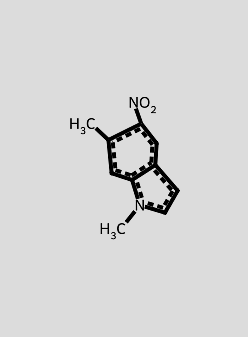 Cc1cc2c(ccn2C)cc1[N+](=O)[O-]